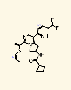 C=C(S/C=C\C)C1=NCC(C(=N)/C=C\CC(F)F)=C2CC(NC(=O)C3CCC3)CN12